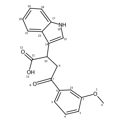 COc1cccc(C(=O)CC(C(=O)O)c2c[nH]c3ccccc23)c1